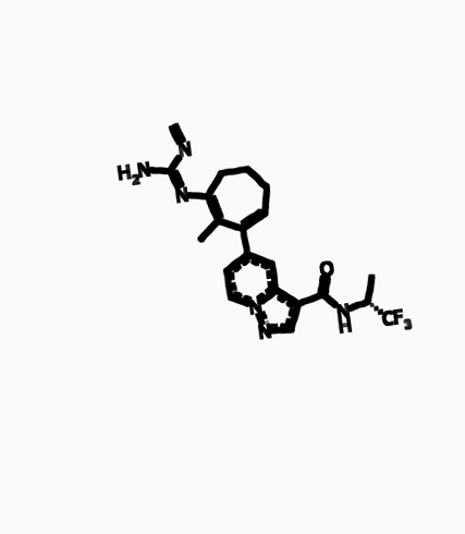 C=N/C(N)=N\C1=C(C)C(c2ccn3ncc(C(=O)N[C@H](C)C(F)(F)F)c3c2)=CCCC1